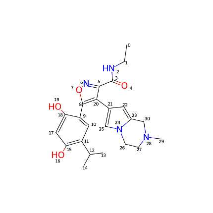 CCNC(=O)c1noc(-c2cc(C(C)C)c(O)cc2O)c1-c1cc2n(c1)CCN(C)C2